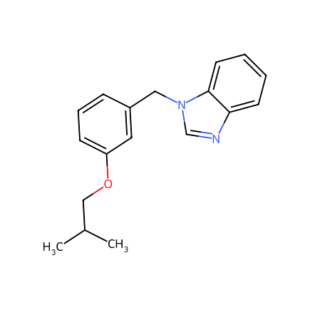 CC(C)COc1cccc(Cn2cnc3ccccc32)c1